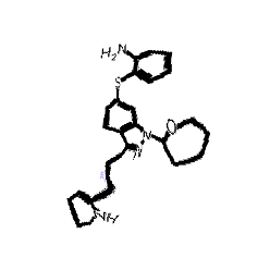 Nc1ccccc1Sc1ccc2c(/C=C/C3=CC=CCN3)nn(C3CCCCO3)c2c1